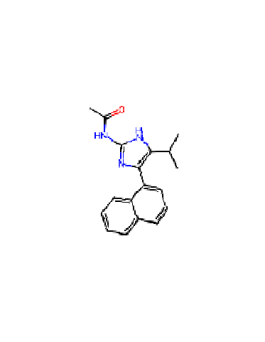 CC(=O)Nc1nc(-c2cccc3ccccc23)c(C(C)C)[nH]1